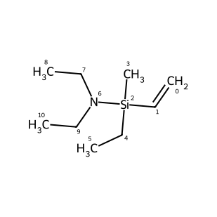 C=C[Si](C)(CC)N(CC)CC